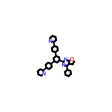 c1ccc(-c2nc(-c3cc(-c4ccc(-c5ccccn5)cc4)cc(-c4ccc(-c5ccccn5)cc4)c3)nc3occc23)cc1